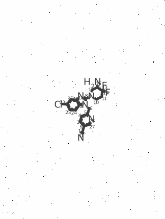 N#Cc1ccc(Cn2c(N3CCC(F)(F)C(N)C3)nc3cc(Cl)ccc32)nc1